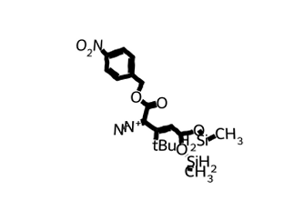 C[SiH2]OC(C=C(C(=[N+]=[N-])C(=O)OCc1ccc([N+](=O)[O-])cc1)C(C)(C)C)O[SiH2]C